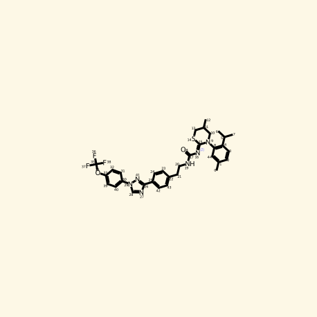 Cc1ccc(C(C)C)c(N2CC(C)CS/C2=N\C(=O)NCCc2ccc(-c3ncn(-c4ccc(OC(F)(F)F)cc4)n3)cc2)c1